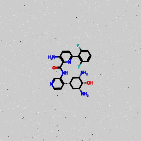 Nc1ccc(-c2c(F)cccc2F)nc1C(=O)Nc1cnccc1[C@H]1C[C@@H](N)[C@@H](O)[C@@H](N)C1